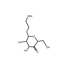 CSCCOC1OC(CO)C(=O)C(O)C1O